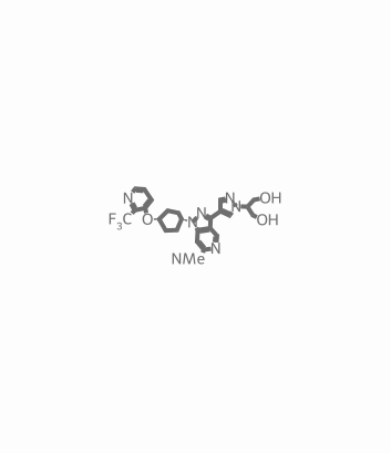 CNc1cc2c(cn1)c(-c1cnn(C(CO)CO)c1)nn2[C@H]1CC[C@@H](Oc2cccnc2C(F)(F)F)CC1